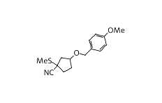 COc1ccc(COC2CCC(C#N)(SC)C2)cc1